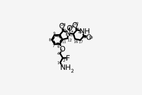 NCC(F)COc1cccc2c1C[N+]([O-])(C1CCC(=O)NC1=O)C2=O